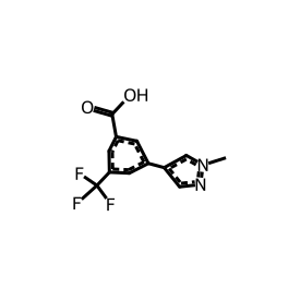 Cn1cc(-c2cc(C(=O)O)cc(C(F)(F)F)c2)cn1